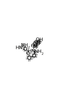 N=C(N)c1ccc(COCc2ccccc2-c2cccc(C(=N)N)c2)cc1.O=C(O)C(F)(F)F.O=C(O)C(F)(F)F